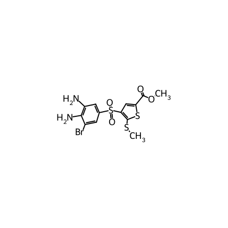 COC(=O)c1cc(S(=O)(=O)c2cc(N)c(N)c(Br)c2)c(SC)s1